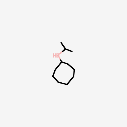 CC(C)BC1CCCCCCC1